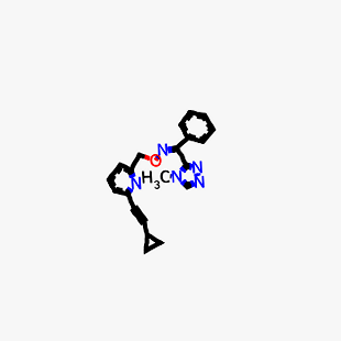 Cn1cnnc1C(=NOCc1cccc(C#CC2CC2)n1)c1ccccc1